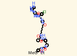 CCOc1cc(OC)ccc1CNCC(=O)N1CCCC(c2cccc(C(=O)N[C@@H](C(=O)NCCCCCCCC(=O)N3CCN(CC[C@H](NC(=O)C4(N)CCN(c5ncnc6[nH]ccc56)CC4)c4ccc(Cl)cc4)CC3)C3CCCCC3)c2)C1